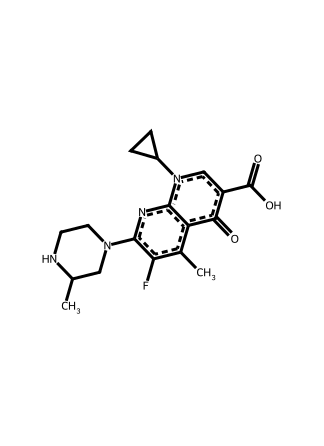 Cc1c(F)c(N2CCNC(C)C2)nc2c1c(=O)c(C(=O)O)cn2C1CC1